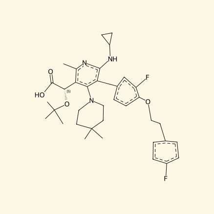 Cc1nc(NC2CC2)c(-c2ccc(OCCc3ccc(F)cc3)c(F)c2)c(N2CCC(C)(C)CC2)c1[C@H](OC(C)(C)C)C(=O)O